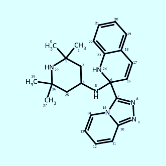 CC1(C)CC(NC2(c3nnc4ccccn34)C=Cc3ccccc3N2)CC(C)(C)N1